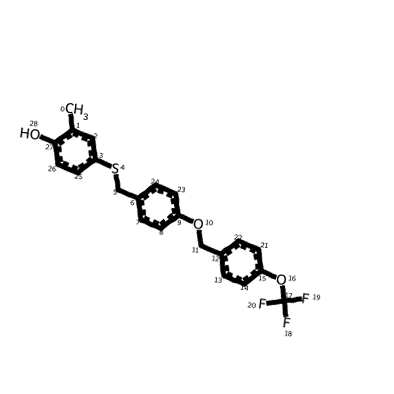 Cc1cc(SCc2ccc(OCc3ccc(OC(F)(F)F)cc3)cc2)ccc1O